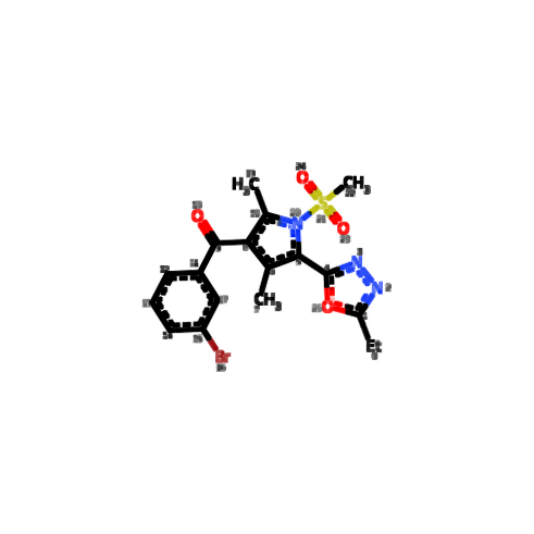 CCc1nnc(-c2c(C)c(C(=O)c3cccc(Br)c3)c(C)n2S(C)(=O)=O)o1